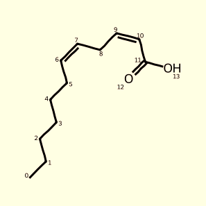 CCCCCC/C=C\C/C=C\C(=O)O